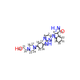 NC(=O)c1cn(-c2ccnc(Nc3ccc(N4CCN(CCO)CC4)cc3)n2)c2ccccc12